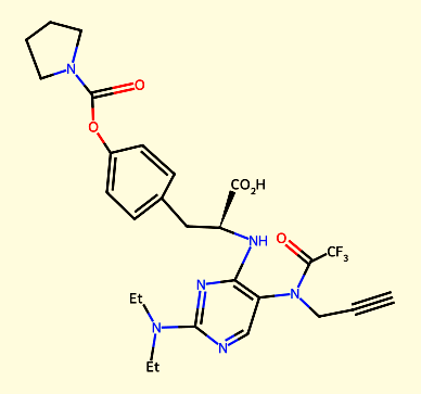 C#CCN(C(=O)C(F)(F)F)c1cnc(N(CC)CC)nc1N[C@@H](Cc1ccc(OC(=O)N2CCCC2)cc1)C(=O)O